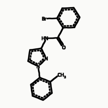 Cc1ccccc1-n1ccc(NC(=O)c2ccccc2Br)n1